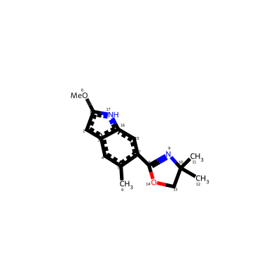 COc1cc2cc(C)c(C3=NC(C)(C)CO3)cc2[nH]1